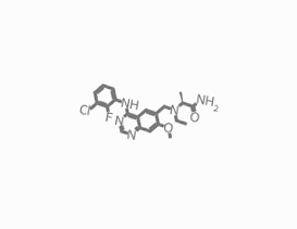 CCN(Cc1cc2c(Nc3cccc(Cl)c3F)ncnc2cc1OC)[C@@H](C)C(N)=O